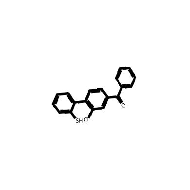 O=C(c1ccccc1)c1ccc(-c2ccccc2S)c(Cl)c1